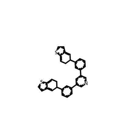 C1=c2ccsc2=CCC1c1cccc(-c2cncc(-c3cccc(C4C=c5ccsc5=CC4)c3)c2)c1